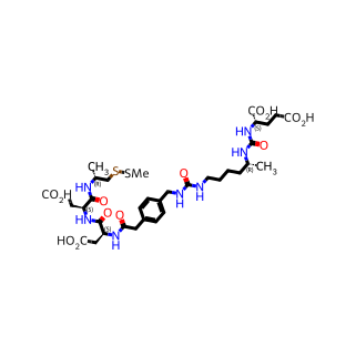 CSSC[C@@H](C)NC(=O)[C@H](CC(=O)O)NC(=O)[C@H](CC(=O)O)NC(=O)Cc1ccc(CNC(=O)NCCCC[C@@H](C)NC(=O)N[C@@H](CCC(=O)O)C(=O)O)cc1